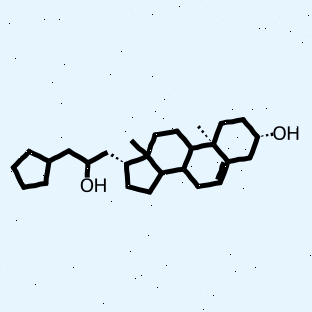 CC12CCC3C(CC=C4C[C@@H](O)CC[C@@]43C)C1CC[C@@H]2CC(O)CC1CCCC1